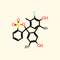 Cc1cc(O)c(C(C)C)cc1C1(c2cc(C(C)C)c(O)c(F)c2C)OS(=O)(=O)c2ccccc21